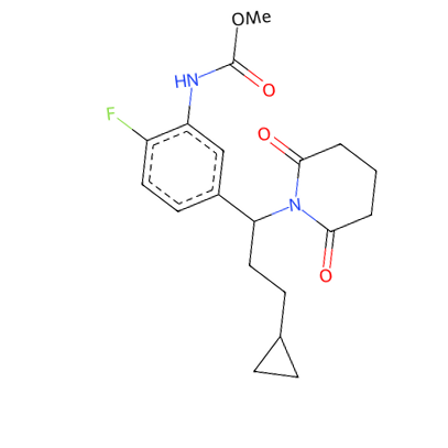 COC(=O)Nc1cc(C(CCC2CC2)N2C(=O)CCCC2=O)ccc1F